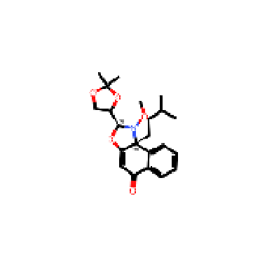 CON1[C@H](C2COC(C)(C)O2)OC2=CC(=O)c3ccccc3[C@]21CCC(C)C